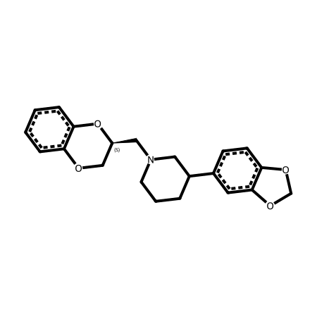 c1ccc2c(c1)OC[C@H](CN1CCCC(c3ccc4c(c3)OCO4)C1)O2